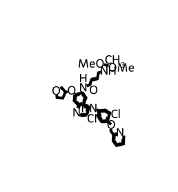 COC(C)(NCC=CC(=O)Nc1cc2c(Nc3ccc(OCc4ccccn4)c(Cl)c3)c(C#N)cnc2cc1OC1CCOC1)OC